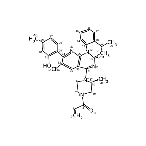 C=CC(=O)N1CCN(c2nc(=O)n(-c3ccccc3C(C)C)c3nc(-c4ccc(C)cc4O)c(Cl)cc23)[C@@H](C)C1